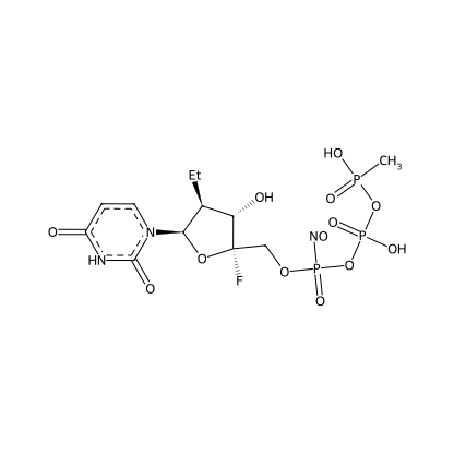 CC[C@@H]1[C@H](n2ccc(=O)[nH]c2=O)O[C@](F)(COP(=O)(N=O)OP(=O)(O)OP(C)(=O)O)[C@H]1O